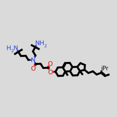 C/C=C(/CCCC1CCC2C3CC=C4CC(OC(=O)CCC(=O)N(CCCC(C)(C)N)CCC(C)(C)N)CCC4(C)C3CCC12C)C(C)C